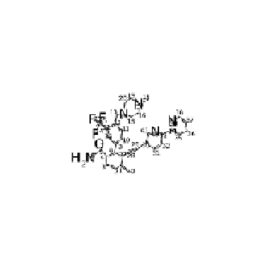 C=C1C=CC(C(N)=O)=C(c2ccc(CN3CCN(C)CC3)c(C(F)(F)F)c2)C1C#Cc1ccc(-c2ccccn2)nc1